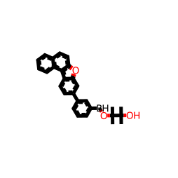 CC(C)(O)C(C)(C)OBc1cccc(-c2ccc3c(c2)oc2ccc4ccccc4c23)c1